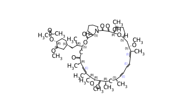 CO[C@H]1C[C@@H]2CC[C@@H](C)[C@@](O)(O2)C(=O)C(=O)N2CCCC[C@H]2C(=O)O[C@H]([C@H](C)C[C@@H]2CC[C@@H](OP(C)(C)=O)[C@H](OC)C2)CC(=O)[C@H](C)/C=C(\C)[C@@H](C)[C@@H](OC)C(=O)[C@H](C)C[C@H](C)/C=C/C=C/C=C/1C